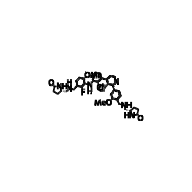 COc1cc(-c2nccc(-c3cccc(Nc4c(OC)ccc(CNC[C@@H]5CCC(=O)N5)c4F)c3Cl)c2Cl)ccc1CNC[C@@H]1CCC(=O)N1